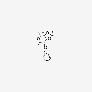 CC1O[C@@H](C)[C@H]2OC(C)(C)OC2[C@H]1OCc1ccccc1